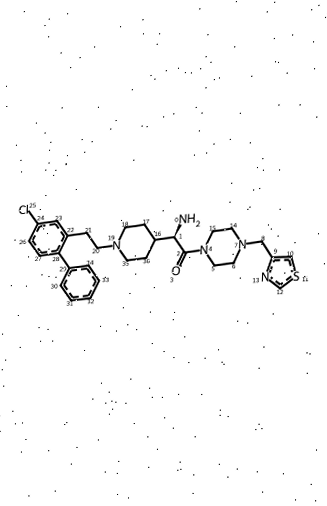 N[C@@H](C(=O)N1CCN(Cc2cscn2)CC1)C1CCN(CCc2cc(Cl)ccc2-c2ccccc2)CC1